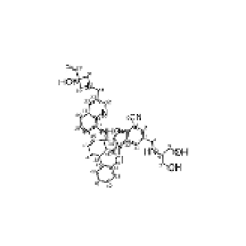 N#Cc1cc(CNC(CO)CO)cc2nc(C3(Nc4nccc5cc(CN6CC(O)(CF)C6)cnc45)C=CC=C(c4ccccc4Cl)C3Cl)oc12